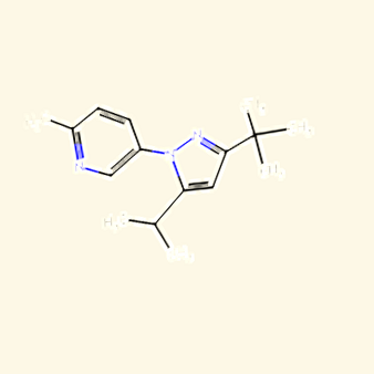 Cc1ccc(-n2nc(C(C)(C)C)cc2C(C)C)cn1